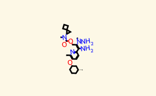 Cc1nc(/C(N)=C(\COC(=O)N(C)C2CC23CCC3)N(C)N)ccc1O[C@H]1CCC[C@@H](C)C1